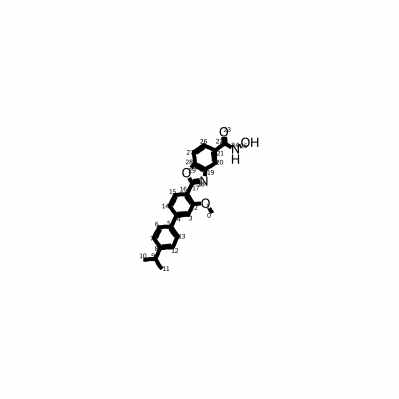 COc1cc(-c2ccc(C(C)C)cc2)ccc1-c1nc2cc(C(=O)NO)ccc2o1